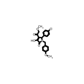 COCC(=O)C1=C(O)C(=O)N(Cc2ccc(OC)cc2)C1c1ccc(Cl)cc1